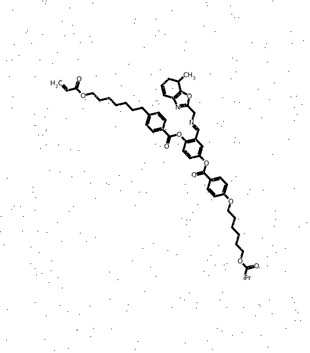 C=CC(=O)OCCCCCCCc1ccc(C(=O)Oc2ccc(OC(=O)c3ccc(OCCCCCCOC(=O)C(C)C)cc3)cc2/C=N/Cc2nc3c(o2)C(C)CC=C3)cc1